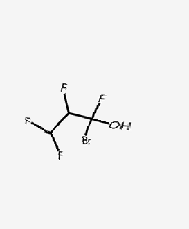 OC(F)(Br)C(F)C(F)F